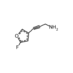 NCC#Cc1coc(F)c1